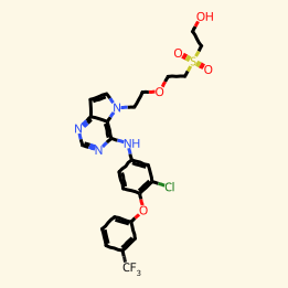 O=S(=O)(CCO)CCOCCn1ccc2ncnc(Nc3ccc(Oc4cccc(C(F)(F)F)c4)c(Cl)c3)c21